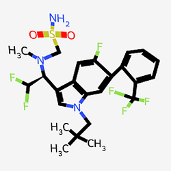 CN(CS(N)(=O)=O)[C@@H](c1cn(CC(C)(C)C)c2cc(-c3ccccc3C(F)(F)F)c(F)cc12)C(F)F